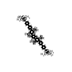 CC[Si](CC)(CC)OC1(c2ccc(-c3ccc(B4OC(C)(C)C(C)(C)O4)cc3)cc2)C=CC(O[Si](CC)(CC)CC)(c2c(F)c(F)c(C3(O[Si](CC)(CC)CC)C=CC(O[Si](CC)(CC)CC)(c4ccc(-c5ccc(B6OC(C)(C)C(C)(C)O6)cc5)cc4)C=C3)c(F)c2F)C=C1